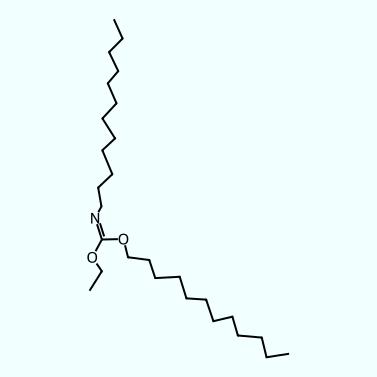 CCCCCCCCCCCCN=C(OCC)OCCCCCCCCCCCC